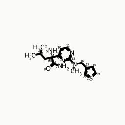 CC(C)C[C@](N)(C(N)=O)c1ccnc(N(C)Cc2ccsc2)n1